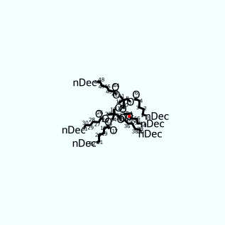 CCCCCCCCCCCCCCC(=O)OCC(COCC(COC(=O)CCCCCCCCCCCCCC)(COC(=O)CCCCCCCCCCCCCC)COC(=O)CCCCCCCCCCCCCC)(COC(=O)CCCCCCCCCCCCCC)COC(=O)CCCCCCCCCCCCCC